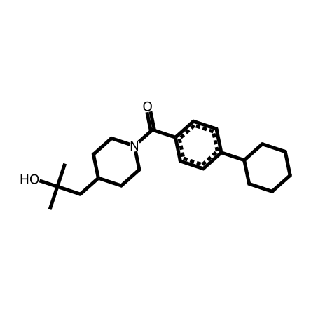 CC(C)(O)CC1CCN(C(=O)c2ccc(C3CCCCC3)cc2)CC1